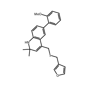 COc1ccccc1-c1ccc2c(c1)C(CSCc1ccoc1)=CC(C)(C)N2